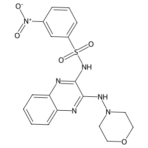 O=[N+]([O-])c1cccc(S(=O)(=O)Nc2nc3ccccc3nc2NN2CCOCC2)c1